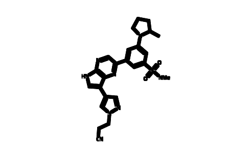 CNS(=O)(=O)c1cc(-c2cnc3[nH]cc(-c4cnn(CCC#N)c4)c3n2)cc(N2CCCC2C)c1